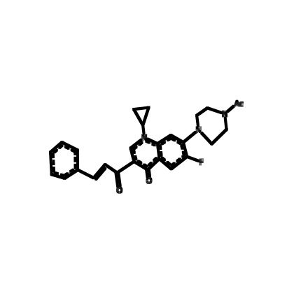 CC(=O)N1CCN(c2cc3c(cc2F)c(=O)c(C(=O)C=Cc2ccccc2)cn3C2CC2)CC1